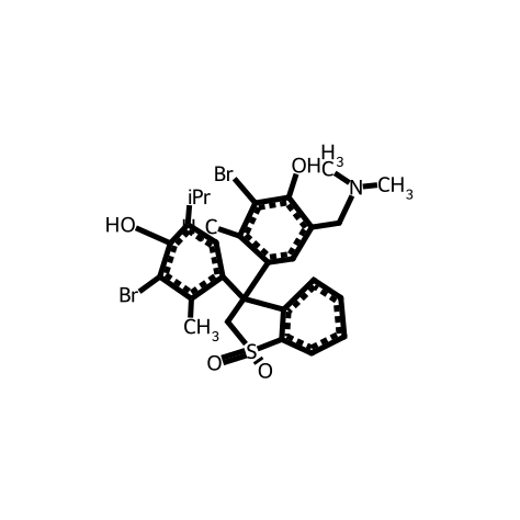 Cc1c(C2(c3cc(C(C)C)c(O)c(Br)c3C)CS(=O)(=O)c3ccccc32)cc(CN(C)C)c(O)c1Br